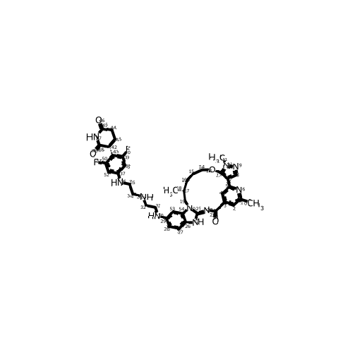 Cc1cc2cc(n1)-c1cnn(C)c1OCCC[C@@H](C)CN1/C(=N/C2=O)Nc2ccc(NCCNCCNc3cc(F)c([C@H]4CCC(=O)NC4=O)c(F)c3)cc21